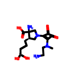 CN(CCN)c1c(N2C[C@H](CCCB(O)O)[C@](N)(C(=O)O)C2)c(=O)c1=O